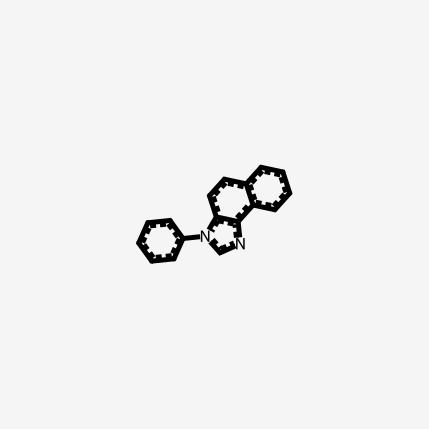 c1ccc(-n2cnc3c4ccccc4ccc32)cc1